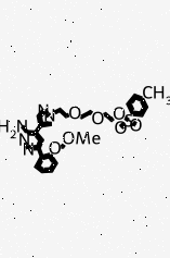 COCOc1ccccc1-c1cc(-c2cnn(CCOCCOCCOS(=O)(=O)c3ccc(C)cc3)c2)c(N)nn1